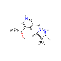 CNC(=O)c1cncc(Cn2nc(C)c([N+](=O)[O-])c2C)c1